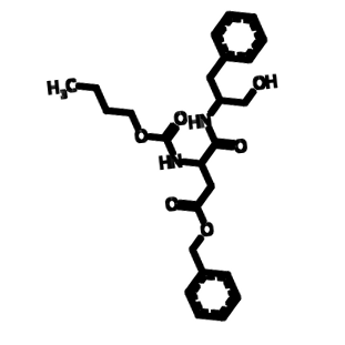 CCCCOC(=O)NC(CC(=O)OCc1ccccc1)C(=O)NC(CO)Cc1ccccc1